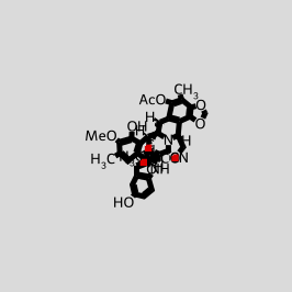 COc1c(C)cc2c(c1O)[C@H]1C3[C@@H]4SC[C@]5(NCCc6c5[nH]c5ccc(O)cc65)C(=O)COC[C@@H](c5c6c(c(C)c(OC(C)=O)c54)OCO6)N3[C@@H](C#N)[C@@H](C2)N1C